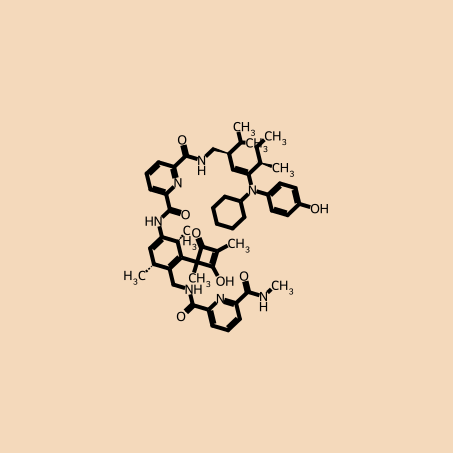 CC[C@@H](C)/C(=C\[C@@H](CNC(=O)c1cccc(C(=O)NC2=C[C@@H](C)C(CNC(=O)c3cccc(C(=O)NC)n3)=C(C3(C)C(=O)C(C)=C3O)[C@H]2C)n1)C(C)C)N(c1ccc(O)cc1)C1CCCCC1